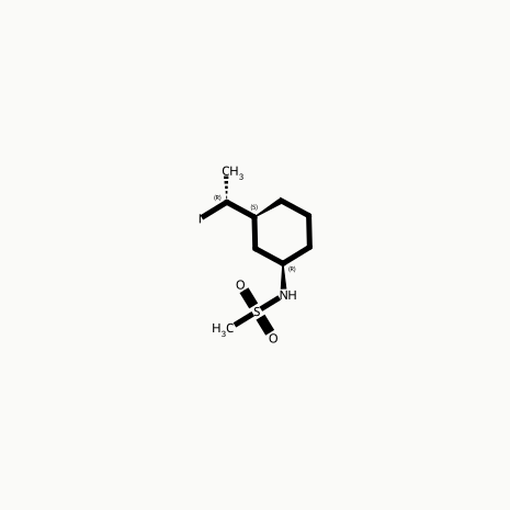 C[C@@H](I)[C@H]1CCC[C@@H](NS(C)(=O)=O)C1